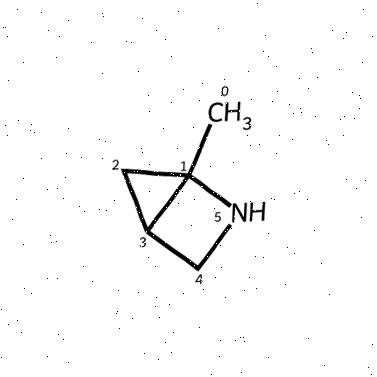 CC12CC1CN2